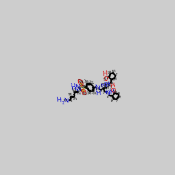 CC(CNCc1ccccc1O)(CNCc1ccccc1O)CNc1ccc(S(=O)(=O)NCCCCCN)cc1